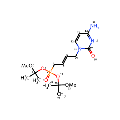 COC(C)(C)OP(=O)(C/C=C/Cn1ccc(N)nc1=O)OC(C)(C)OC